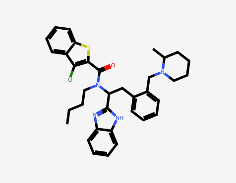 CCCCN(C(=O)c1sc2ccccc2c1Cl)C(Cc1ccccc1CN1CCCCC1C)c1nc2ccccc2[nH]1